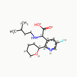 CC(C)CCNC(C(=O)O)c1cc(F)cnc1C1CCCCO1